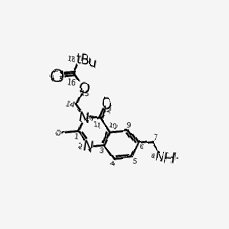 Cc1nc2ccc(C[NH])cc2c(=O)n1COC(=O)C(C)(C)C